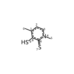 Cc1ccn(C)c(=S)c1S